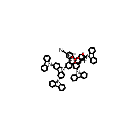 N#Cc1ccc(-n2c3ccc(-n4c5ccccc5c5ccccc54)cc3c3cc(-n4c5ccccc5c5ccccc54)ccc32)c(-c2cc(-n3c4ccc(-n5c6ccccc6c6ccccc65)cc4c4cc(-n5c6ccccc6c6ccccc65)ccc43)ccc2-c2ccc(C(F)(F)F)cc2C(F)(F)F)c1